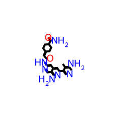 Cc1c(N)cncc1-c1cc2cc(NC(=O)C=C3CCC(C(N)=O)CC3)ncc2c(N)n1